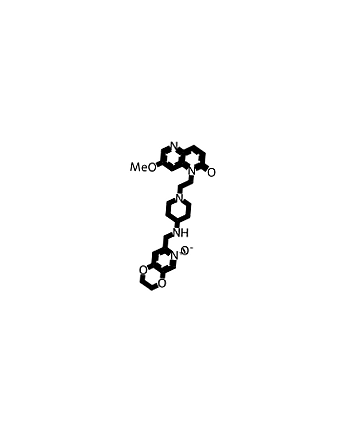 COc1cnc2ccc(=O)n(CCN3CCC(NCc4cc5c(c[n+]4[O-])OCCO5)CC3)c2c1